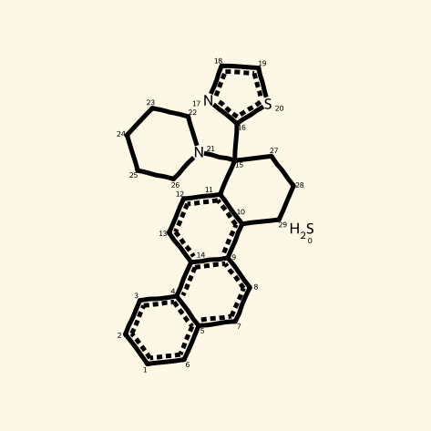 S.c1ccc2c(c1)ccc1c3c(ccc12)C(c1nccs1)(N1CCCCC1)CCC3